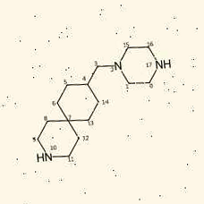 C1CN(CC2CCC3(CCNCC3)CC2)CCN1